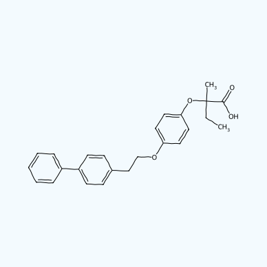 CCC(C)(Oc1ccc(OCCc2ccc(-c3ccccc3)cc2)cc1)C(=O)O